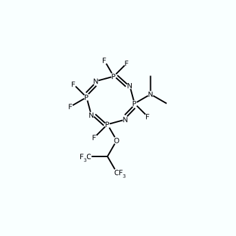 CN(C)P1(F)=NP(F)(OC(C(F)(F)F)C(F)(F)F)=NP(F)(F)=NP(F)(F)=N1